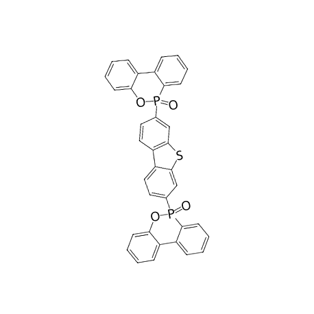 O=P1(c2ccc3c(c2)sc2cc(P4(=O)Oc5ccccc5-c5ccccc54)ccc23)Oc2ccccc2-c2ccccc21